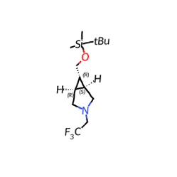 CC(C)(C)[Si](C)(C)OC[C@@H]1[C@H]2CN(CC(F)(F)F)C[C@@H]12